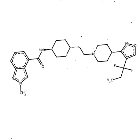 CCC(F)(F)c1conc1C1CCN(CC[C@H]2CC[C@H](NC(=O)c3cccc4nn(C)cc34)CC2)CC1